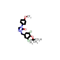 CC(C)(Oc1c(Cl)cc(Cn2ncn(-c3ccc(OC(F)(F)F)cc3)c2=O)cc1Cl)C(=O)O